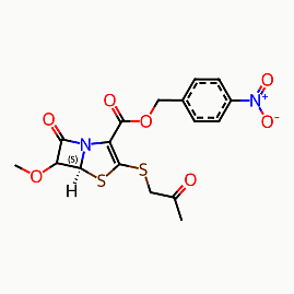 COC1C(=O)N2C(C(=O)OCc3ccc([N+](=O)[O-])cc3)=C(SCC(C)=O)S[C@@H]12